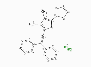 CC1=[C]([Zr]=[C](c2ccccc2)c2ccccc2)CC(C2=CC=CC2)=C1C.Cl.Cl